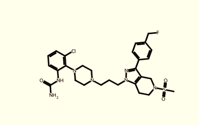 CS(=O)(=O)N1CCc2c(c(-c3ccc(CF)cc3)nn2CCCN2CCN(c3c(Cl)cccc3NC(N)=O)CC2)C1